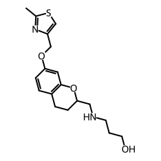 Cc1nc(COc2ccc3c(c2)OC(CNCCCO)CC3)cs1